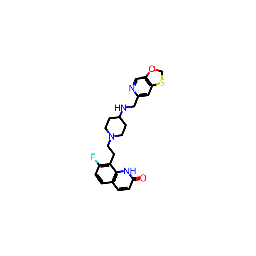 O=c1ccc2ccc(F)c(CCN3CCC(NCc4cc5c(cn4)OCS5)CC3)c2[nH]1